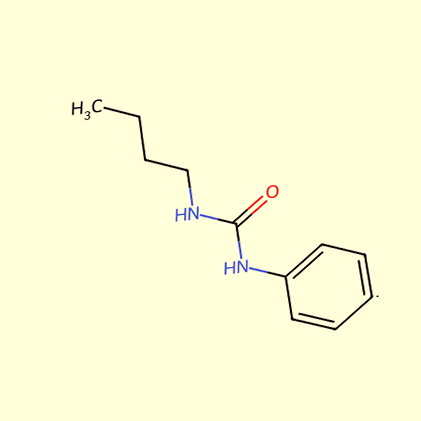 CCCCNC(=O)Nc1cc[c]cc1